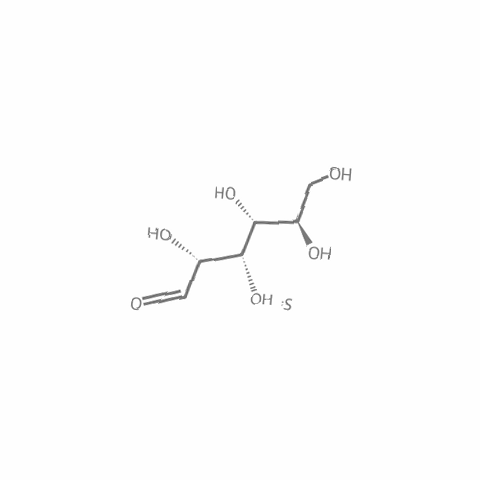 O=C[C@H](O)[C@@H](O)[C@H](O)[C@H](O)CO.[S]